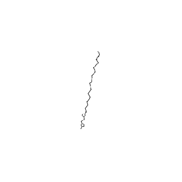 CCCCCCCCCCCCCCCCOCCOC